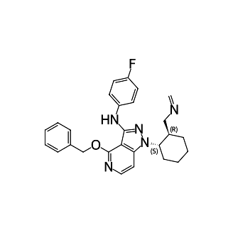 C=NC[C@H]1CCCC[C@@H]1n1nc(Nc2ccc(F)cc2)c2c(OCc3ccccc3)nccc21